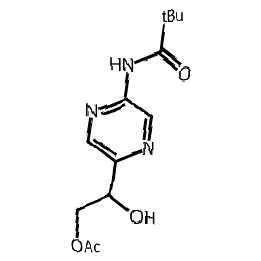 CC(=O)OCC(O)c1cnc(NC(=O)C(C)(C)C)cn1